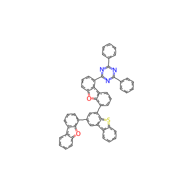 c1ccc(-c2nc(-c3ccccc3)nc(-c3cccc4oc5c(-c6cc(-c7cccc8c7oc7ccccc78)cc7c6sc6ccccc67)cccc5c34)n2)cc1